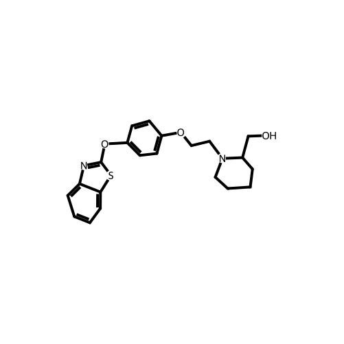 OCC1CCCCN1CCOc1ccc(Oc2nc3ccccc3s2)cc1